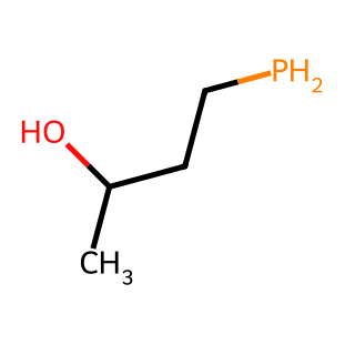 CC(O)CCP